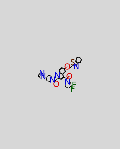 O=C(c1cc(C(=O)N2CCCC(F)(F)C2)c2cc(OCc3nc4ccccc4s3)ccc2n1)N1CCC(n2cccn2)CC1